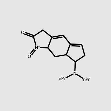 CCCN(CCC)C1CC=C2C=C3CC(=O)[N+](=O)C3CC21